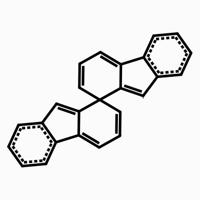 [C]1=C2C(=CC=CC23C=CC=C2C3=Cc3ccccc32)c2ccccc21